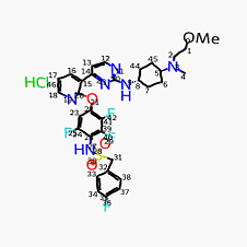 COCCN(C)[C@H]1CC[C@H](Nc2nccc(-c3cccnc3Oc3cc(F)c(NS(=O)(=O)Cc4ccc(F)cc4)c(F)c3F)n2)CC1.Cl